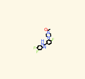 CC(=O)N1CCN(c2cc(-c3nc4cc(F)c(F)cc4[nH]3)ccc2F)CC1